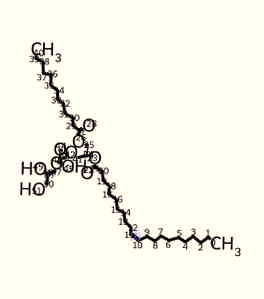 CCCCCCCCCC/C=C\CCCCCCCCCC(=O)O[C@H](COC(=O)CCCCCCCCCCCC)COP(=O)(O)OC[C@@H](O)CO